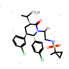 CC[C@@H](CNS(=O)(=O)C1(C)CC1)N1C(=O)[C@H](C(C)C(=O)O)C[C@H](c2cccc(Cl)c2)[C@H]1c1ccc(Cl)cc1